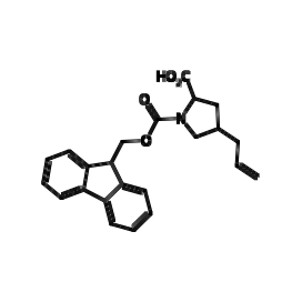 C=CCC1CC(C(=O)O)N(C(=O)OCC2c3ccccc3-c3ccccc32)C1